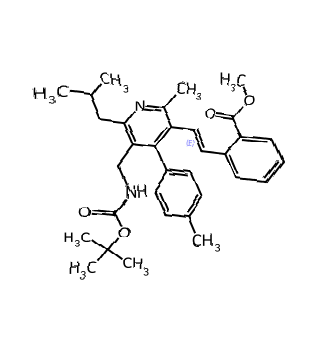 COC(=O)c1ccccc1/C=C/c1c(C)nc(CC(C)C)c(CNC(=O)OC(C)(C)C)c1-c1ccc(C)cc1